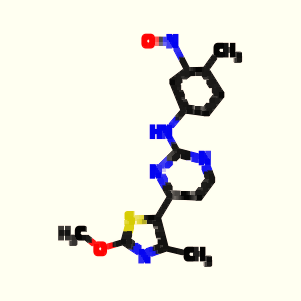 COc1nc(C)c(-c2ccnc(Nc3ccc(C)c(N=O)c3)n2)s1